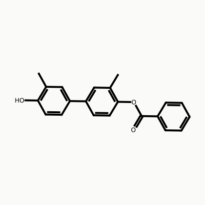 Cc1cc(-c2ccc(OC(=O)c3ccccc3)c(C)c2)ccc1O